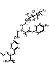 CCOC(Cc1ccc(OCCN(CCOC(F)(F)C(F)(F)C(F)(F)C(F)(F)F)C(=O)NCc2ccc(F)cc2)cc1)C(=O)O